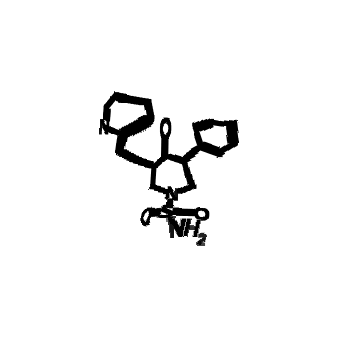 NS(=O)(=O)N1C/C(=C/c2ccccn2)C(=O)C(c2ccccc2)C1